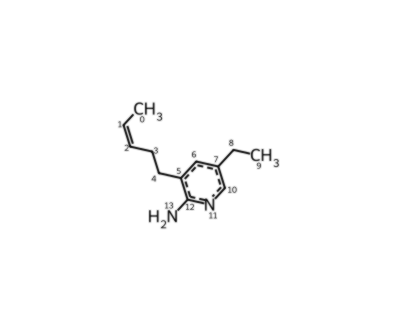 C/C=C\CCc1cc(CC)cnc1N